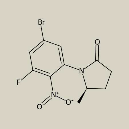 C[C@@H]1CCC(=O)N1c1cc(Br)cc(F)c1[N+](=O)[O-]